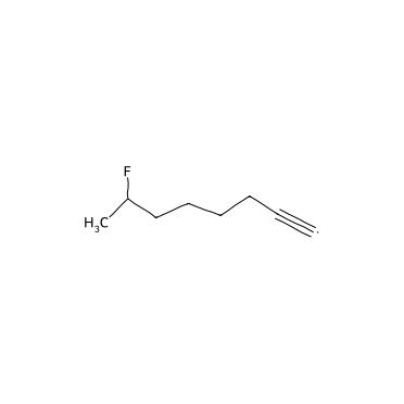 [C]#CCCCCC(C)F